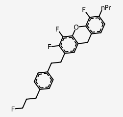 CCCc1ccc2c(c1F)Oc1c(cc(CCc3ccc(CCCF)cc3)c(F)c1F)C2